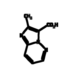 Cc1nc2cccnn2c1C(=O)O